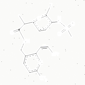 CCC/C=C\c1nc(C(F)(F)F)ccc1CNC(=O)C(C)c1ccc(NS(C)(=O)=O)c(F)c1